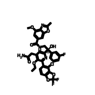 CCOc1c(CC(N)=O)cc([C@@](O)(CNC(=O)c2cc(OC)c3nc(C)oc3c2)c2cccc(F)c2)nc1-c1ccc2c(c1Cl)OC(F)(F)O2